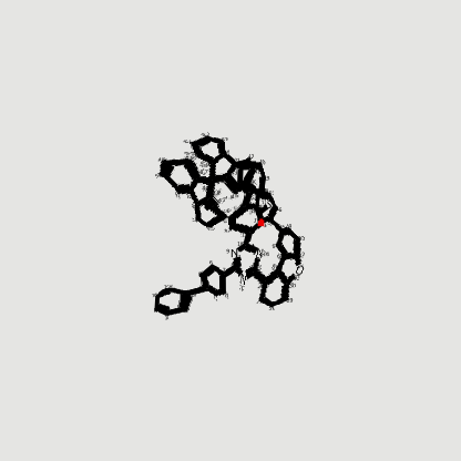 c1ccc(-c2ccc(-c3nc(-c4ccc5c(c4)sc4ccccc45)nc(-c4cccc5oc6ccc(-c7ccc(-c8ccc9c(c8)C8(c%10ccccc%10-c%10ccccc%108)c8ccccc8-9)cc7)cc6c45)n3)cc2)cc1